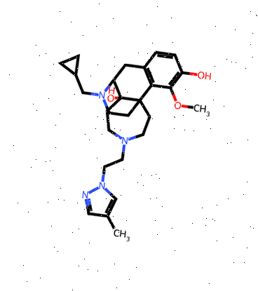 COc1c(O)ccc2c1C13CCN(CCn4cc(C)cn4)CCC1(O)C(C2)N(CC1CC1)CC3